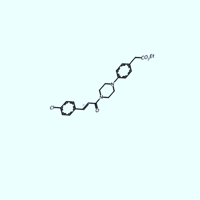 CCOC(=O)Cc1ccc(N2CCN(C(=O)/C=C/c3ccc(Cl)cc3)CC2)cc1